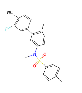 Cc1ccc(S(=O)(=O)N(C)c2ccc(C)c(-c3ccc(C#N)c(F)c3)c2)cc1